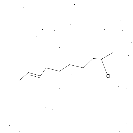 CC=CCCCCCC(C)Cl